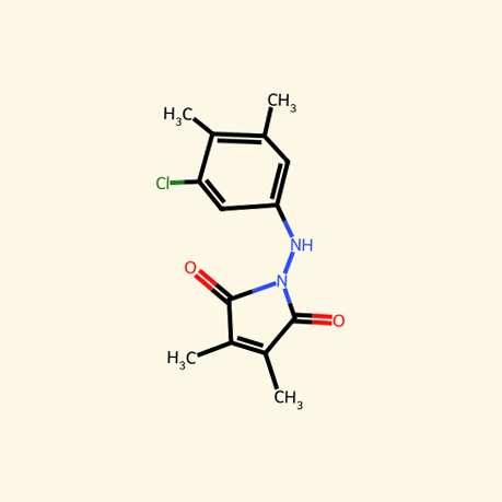 CC1=C(C)C(=O)N(Nc2cc(C)c(C)c(Cl)c2)C1=O